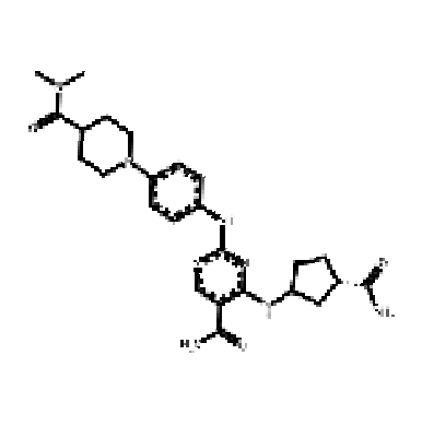 CN(C)C(=O)C1CCN(c2ccc(Nc3ncc(C(N)=O)c(NC4CC[C@H](C(N)=O)C4)n3)cc2)CC1